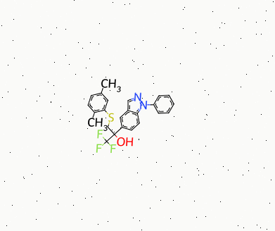 Cc1ccc(C)c(SCC(O)(c2ccc3c(cnn3-c3ccccc3)c2)C(F)(F)F)c1